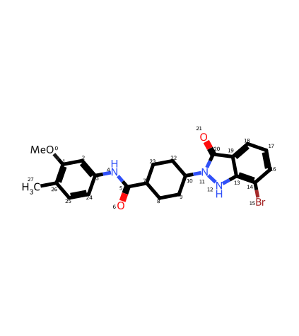 COc1cc(NC(=O)C2CCC(n3[nH]c4c(Br)cccc4c3=O)CC2)ccc1C